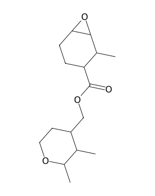 CC1OCCC(COC(=O)C2CCC3OC3C2C)C1C